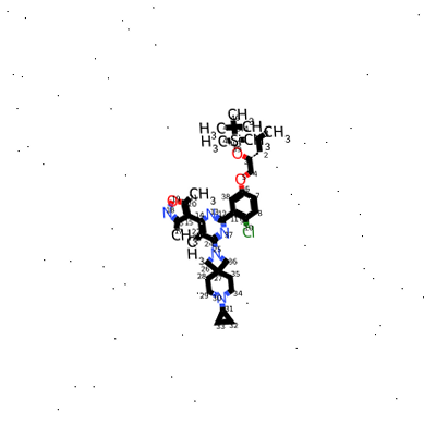 CCC[C@H](COc1ccc(Cl)c(-c2nc(-c3c(C)noc3C)c(C)c(N3CC4(CCN(C5CC5)CC4)C3)n2)c1)O[Si](C)(C)C(C)(C)C